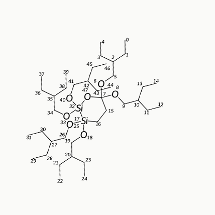 CCC(CC)COC1(OCC(CC)CC)CC[Si](OCC(CC)CC)(OCC(CC)CC)[Si](OCC(CC)CC)(OCC(CC)CC)O1